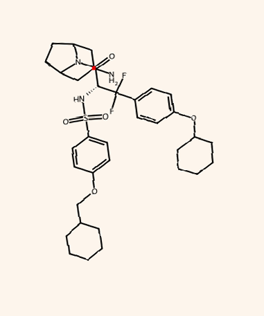 NC1CC2CCC(C1)N2C(=O)[C@@H](NS(=O)(=O)c1ccc(OCC2CCCCC2)cc1)C(F)(F)c1ccc(OC2CCCCC2)cc1